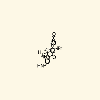 CC(C)c1cc2c(cc1N1CCN(C3COC3)CC1)C(C)(C)c1[nH]c3cc(C=N)ccc3c1C2=O